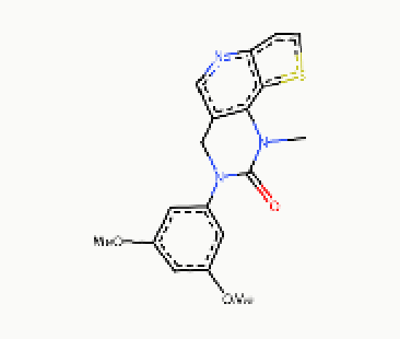 COc1cc(OC)cc(N2Cc3cnc4ccsc4c3N(C)C2=O)c1